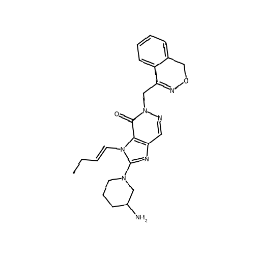 CCC=Cn1c(N2CCCC(N)C2)nc2cnn(CC3=NOCc4ccccc43)c(=O)c21